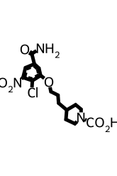 NC(=O)c1cc(OCCCC2CCN(C(=O)O)CC2)c(Cl)c([N+](=O)[O-])c1